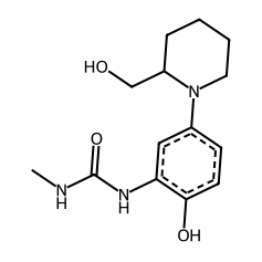 CNC(=O)Nc1cc(N2CCCCC2CO)ccc1O